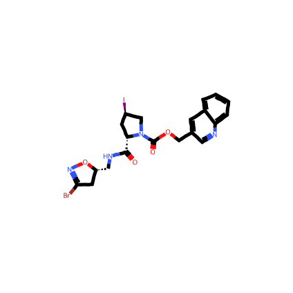 O=C(NC[C@@H]1CC(Br)=NO1)[C@@H]1C[C@@H](I)CN1C(=O)OCc1cnc2ccccc2c1